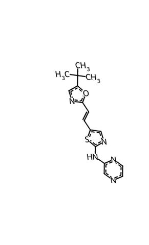 CC(C)(C)c1cnc(/C=C/c2cnc(Nc3cnccn3)s2)o1